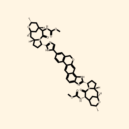 COC(=O)NC1C(=O)N2[C@H](CC[C@H]2c2ncc(-c3ccc4c(c3)COc3cc5c(ccc6nc([C@@H]7CC[C@@H]8C[C@@H]9CC(C[C@@H](C)O9)[C@H](NC(=O)OC)C(=O)N87)[nH]c65)cc3-4)[nH]2)C[C@@H]2C[C@@H]1C[C@@H](C)O2